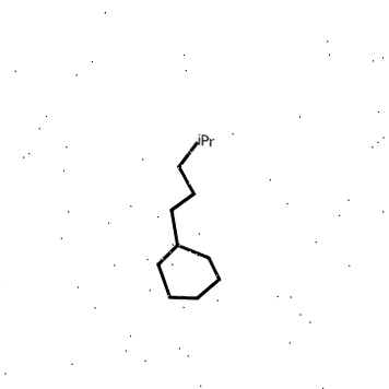 CC(C)CCC[C]1CCCCC1